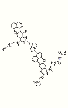 COC(=O)/C=C/C(=O)NCCN(C)c1nc(OC[C@@H]2CCCN2C)nc2c1CCN(c1cccc3c(C4CCC5(COc6nc(N(C)CC7CN(C#N)C7)c7cnc(-c8cccc9cccc(Cl)c89)c(F)c7n6)CCCN45)ccc(Cl)c13)C2